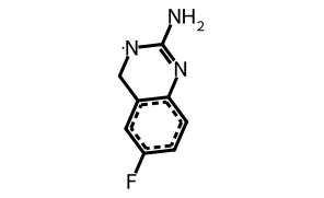 NC1=Nc2ccc(F)cc2C[N]1